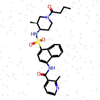 CCCC(=O)N1CC[C@@H](NS(=O)(=O)c2ccc(NC(=O)c3cccnc3C)c3ccccc23)[C@@H](C)C1